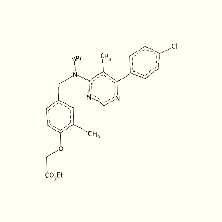 CCCN(Cc1ccc(OCC(=O)OCC)c(C)c1)c1ncnc(-c2ccc(Cl)cc2)c1C